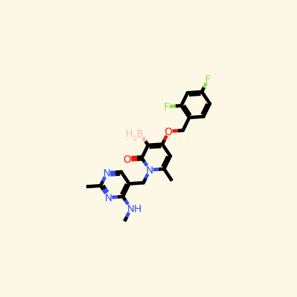 Bc1c(OCc2ccc(F)cc2F)cc(C)n(Cc2cnc(C)nc2NC)c1=O